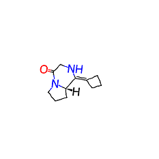 O=C1CNC(=C2CCC2)[C@@H]2CCCN12